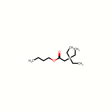 CCCCOC(=O)C[Si](CC)(CC)CC